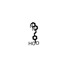 O=C(O)c1ccc(C=Cc2ccc3cccnc3n2)cc1